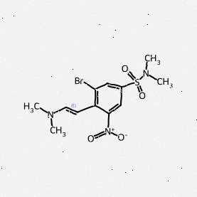 CN(C)/C=C/c1c(Br)cc(S(=O)(=O)N(C)C)cc1[N+](=O)[O-]